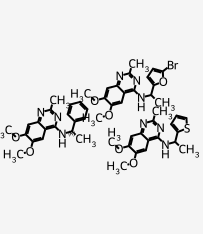 COc1cc2nc(C)nc(NC(C)c3ccc(Br)o3)c2cc1OC.COc1cc2nc(C)nc(NC(C)c3cccs3)c2cc1OC.COc1cc2nc(C)nc(N[C@H](C)c3ccccc3)c2cc1OC